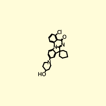 O=c1nc2n(c3cccc(Cl)c13)-c1ccc(N3CCC(O)CC3)cc1C21CCCCC1